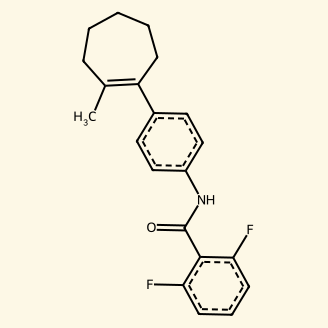 CC1=C(c2ccc(NC(=O)c3c(F)cccc3F)cc2)CCCCC1